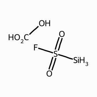 O=C(O)O.O=S(=O)(F)[SiH3]